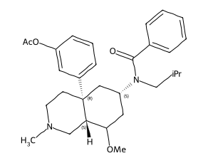 COC1C[C@@H](N(CC(C)C)C(=O)c2ccccc2)C[C@]2(c3cccc(OC(C)=O)c3)CCN(C)C[C@@H]12